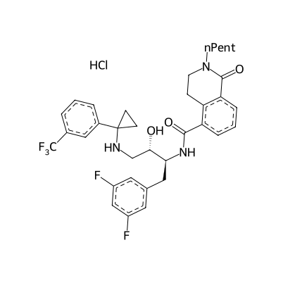 CCCCCN1CCc2c(C(=O)N[C@@H](Cc3cc(F)cc(F)c3)[C@@H](O)CNC3(c4cccc(C(F)(F)F)c4)CC3)cccc2C1=O.Cl